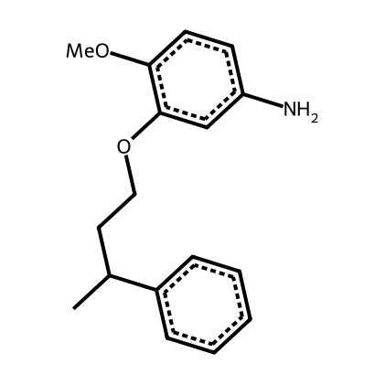 COc1ccc(N)cc1OCCC(C)c1ccccc1